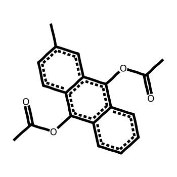 CC(=O)Oc1c2ccccc2c(OC(C)=O)c2cc(C)ccc12